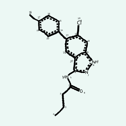 CCCC(=O)Nc1n[nH]c2cc(Cl)c(-c3ccc(C)cc3)cc12